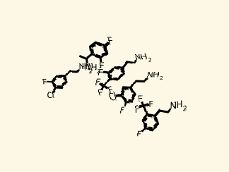 CC(N)c1ccc(F)cc1F.NCCc1ccc(C(F)(F)F)c(F)c1.NCCc1ccc(Cl)c(F)c1.NCCc1ccc(F)c(Cl)c1.NCCc1ccc(F)cc1C(F)(F)F